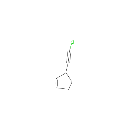 ClC#CC1C=CCC1